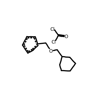 O=C(Cl)Cl.c1ccc(COCC2CCCCC2)cc1